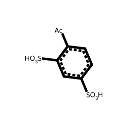 CC(=O)c1ccc(S(=O)(=O)O)cc1S(=O)(=O)O